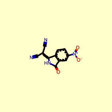 N#CC(C#N)=C1NC(=O)c2cc([N+](=O)[O-])ccc21